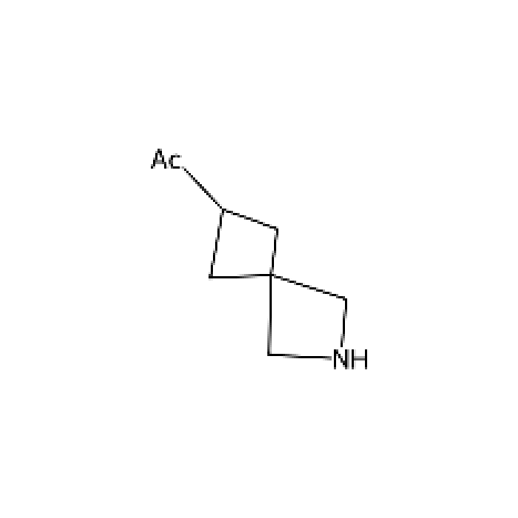 CC(=O)C1CC2(CNC2)C1